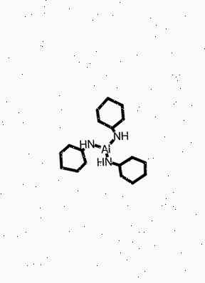 C1CCC([NH][Al]([NH]C2CCCCC2)[NH]C2CCCCC2)CC1